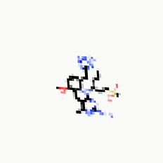 CCC[C@@H](CCS(C)(=O)=O)Nc1nc(N)nc(C)c1Cc1cc(Cc2nn[nH]n2)ccc1OC